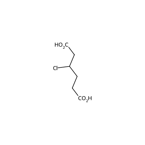 O=C(O)CCC(Cl)CC(=O)O